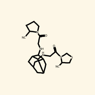 N#CC1CCCN1C(=O)CNC1C2CC3CC(C2)C(NCC(=O)N2CSCC2C#N)C1C3